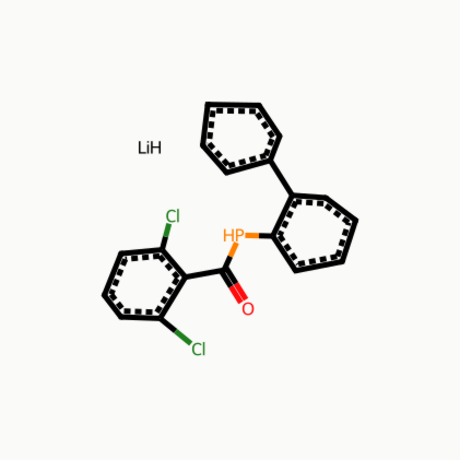 O=C(Pc1ccccc1-c1ccccc1)c1c(Cl)cccc1Cl.[LiH]